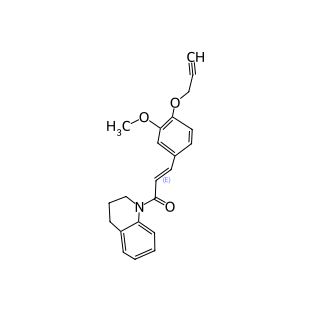 C#CCOc1ccc(/C=C/C(=O)N2CCCc3ccccc32)cc1OC